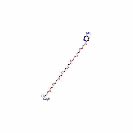 Nc1ccc(OCCOCCOCCOCCOCCOCCOCCOCCOCCNC(=O)O)nc1